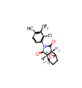 CCc1c(N2C(=O)[C@@H]3[C@H](C2=O)[C@@]2(C)CC[C@]3(C)O2)ccc(C#N)c1C(F)(F)F